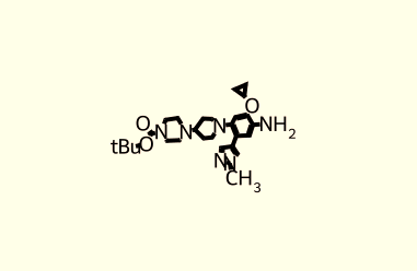 Cn1cc(-c2cc(N)c(OC3CC3)cc2N2CCC(N3CCN(C(=O)OC(C)(C)C)CC3)CC2)cn1